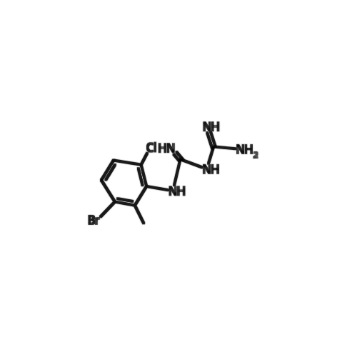 Cc1c(Br)ccc(Cl)c1NC(=N)NC(=N)N